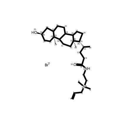 C=CC[N+](C)(C)CCNC(=O)CCC(C)[C@H]1CCC2C3CCC4C[C@H](O)CC[C@]4(C)C3CC[C@@]21C.[Br-]